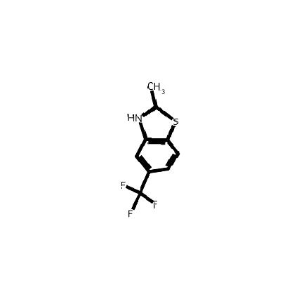 CC1Nc2cc(C(F)(F)F)ccc2S1